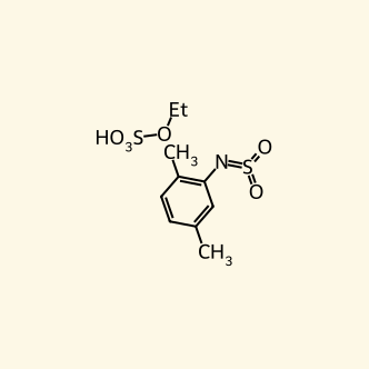 CCOS(=O)(=O)O.Cc1ccc(C)c(N=S(=O)=O)c1